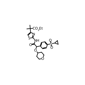 CCOC(=O)C(C)(C)c1csc(NC(=O)C(OC2CCOCC2)c2ccc(S(=O)(=O)C3CC3)cc2)n1